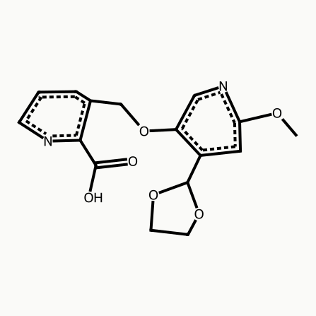 COc1cc(C2OCCO2)c(OCc2cccnc2C(=O)O)cn1